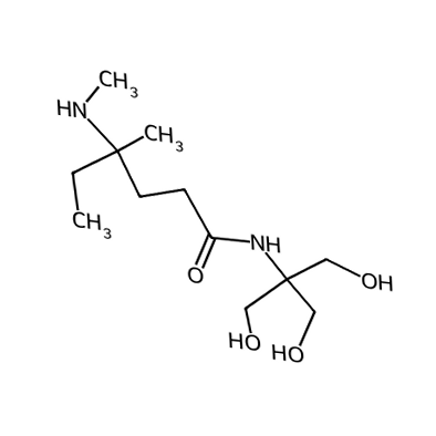 CCC(C)(CCC(=O)NC(CO)(CO)CO)NC